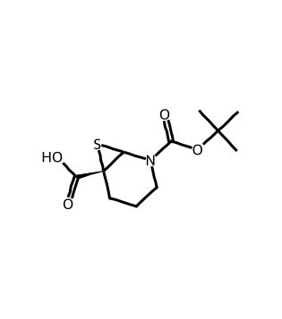 CC(C)(C)OC(=O)N1CCC[C@]2(C(=O)O)SC12